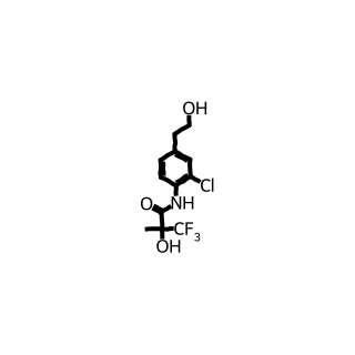 CC(O)(C(=O)Nc1ccc(CCO)cc1Cl)C(F)(F)F